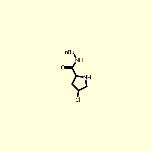 CCCCNC(=O)C1CC(Cl)CN1